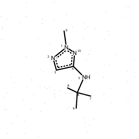 Cn1ncc(NC(C)(C)C)n1